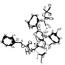 CC(C)C[C@H](NC(=O)OCc1ccccc1)C(=O)N[C@@H](Cc1ccccc1)C(=O)N[C@@H](CNC(=O)OC(C)(C)C)C(=O)c1ccccn1